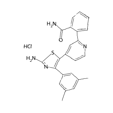 Cc1cc(C)cc(-c2nc(N)sc2-c2ccnc(-c3ccccc3C(N)=O)c2)c1.Cl